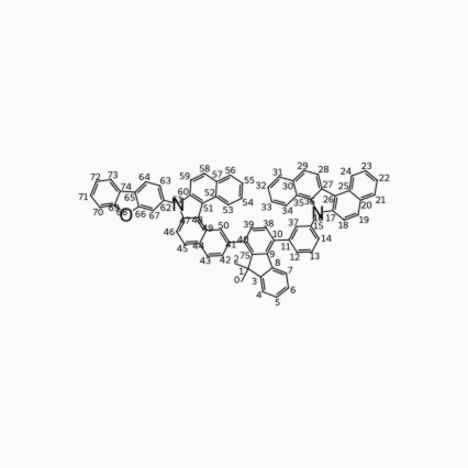 CC1(C)c2ccccc2-c2c(-c3cccc(-n4c5ccc6ccccc6c5c5ccc6ccccc6c54)c3)ccc(-c3ccc4ccc5c(c4c3)c3c4ccccc4ccc3n5-c3ccc4c(c3)oc3ccccc34)c21